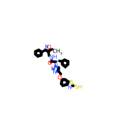 Cc1onc(-c2ccccc2)c1CNC(=O)[C@H](Cc1ccccc1)n1cc(COc2ccc3nc(S)sc3c2)nn1